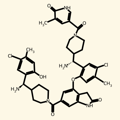 Cc1cc(O)c([C@H](N)C2CCN(C(=O)c3cc4c(c(Oc5cc(C)c(Cl)cc5[C@H](N)C5CCN(C(=O)c6c[nH]c(=O)c(C)c6)CC5)c3)CC(=O)N4)CC2)cc1Cl